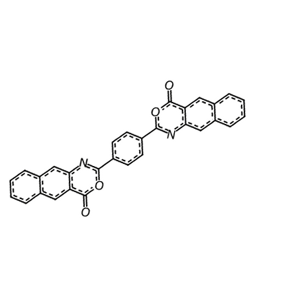 O=c1oc(-c2ccc(-c3nc4cc5ccccc5cc4c(=O)o3)cc2)nc2cc3ccccc3cc12